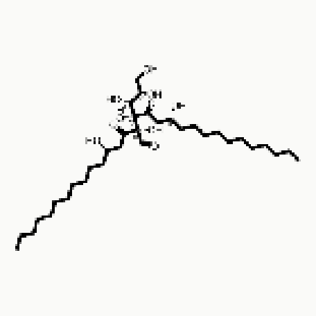 CCCCCCCCCCC[C@@H](O)CC(=O)[C@](O)(C=O)[C@](O)(C(=O)C[C@H](O)CCCCCCCCCCC)[C@H](O)[C@H](O)CO